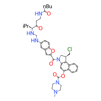 CCCCC(=O)NCCC(=O)[C@@H](NCNc1ccc2oc(C(=O)N3C[C@@H](CCl)c4c3cc(OC(=O)N3CCN(C)CC3)c3ccccc43)cc2c1)C(C)C